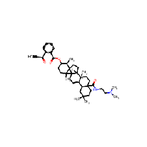 C#CC(=O)c1ccccc1C(=O)OC1CCC2(C)C3(CCC4(C)C23CC=C2C3CC(C)(C)CCC3(C(=O)NCCN(C)C)CC[C@]24C)C1C